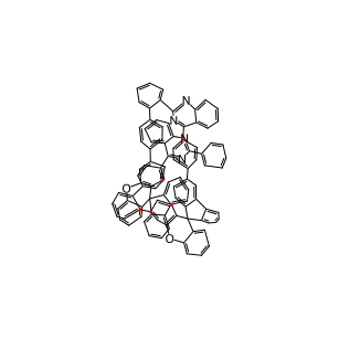 c1ccc(-c2nc(-c3ccc(-c4ccccc4-c4ccc5c(c4)Oc4ccccc4C54c5ccccc5-c5cc(-c6ccc(-c7nc(-c8ccccc8-c8ccc(-c9ccc%10c(c9)Oc9ccccc9C%109c%10ccccc%10-c%10ccccc%109)cc8)nc8ccccc78)cc6)ccc54)cc3)c3ccccc3n2)cc1